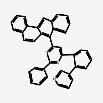 c1ccc(-c2nc(-c3ccccc3-c3cccnc3)cc(-c3c4ccccc4cc4c3ccc3ccccc34)n2)cc1